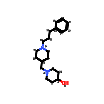 OC1CCN(CC2CCN(CCCc3ccccc3)CC2)CC1